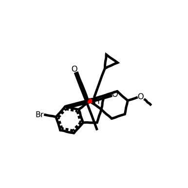 COC1CCC2(CC1)Cc1ccc(Br)cc1C21NC(=O)N(C2CC2)C1=O